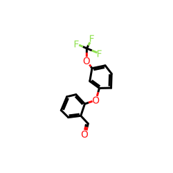 O=Cc1ccccc1Oc1cccc(OC(F)(F)F)c1